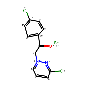 O=C(C[n+]1cccc(Cl)n1)c1ccc(Cl)cc1.[Br-]